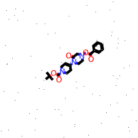 CC(C)(C)OC(=O)N1CC=C(N2CCN(OC(=O)c3ccccc3)CC2=O)CC1